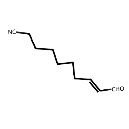 N#CCCCCCCC=CC=O